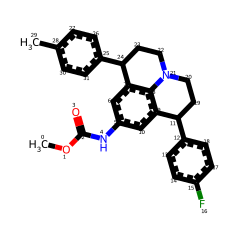 COC(=O)Nc1cc2c3c(c1)C(c1ccc(F)cc1)CCN3CCC2c1ccc(C)cc1